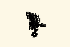 CCCCSc1nc(NC2CC2c2ccccc2)c2nnn([C@H]3C[C@@H](C(=O)NCC)[C@H](O)[C@@H]3O)c2n1